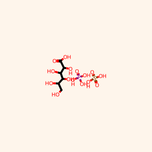 O=C(O)C(O)C(O)C(O)C(O)CO.O=P(O)(O)O.O=S(=O)(O)O